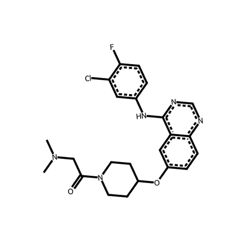 CN(C)CC(=O)N1CCC(Oc2ccc3ncnc(Nc4ccc(F)c(Cl)c4)c3c2)CC1